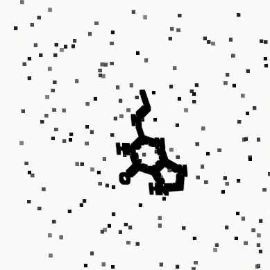 CC=Nc1nc2nc[nH]c2c(=O)[nH]1